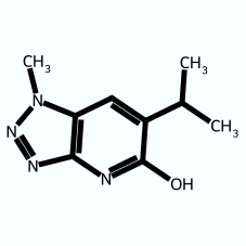 CC(C)c1cc2c(nnn2C)nc1O